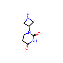 O=C1CCN(C2CNC2)C(=O)N1